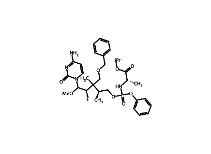 COC([C@H](F)C(C)(COCc1ccccc1)[C@H](C)COP(=O)(N[C@@H](C)C(=O)OC(C)C)Oc1ccccc1)n1ccc(N)nc1=O